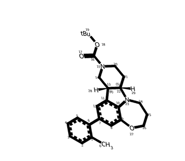 Cc1ccccc1-c1cc2c3c(c1)[C@@H]1CN(C(=O)OC(C)(C)C)CC[C@@H]1N3CCCO2